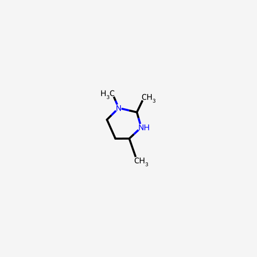 CC1CCN(C)C(C)N1